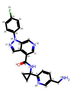 NCc1ccc(C2(NC(=O)c3cncc4c3cnn4-c3ccc(F)cc3)CC2)nc1